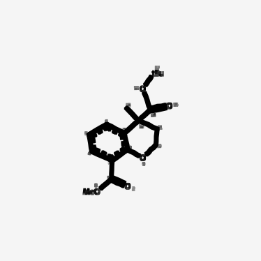 COC(=O)c1cccc2c1OCCC2(C)C(=O)OC(C)(C)C